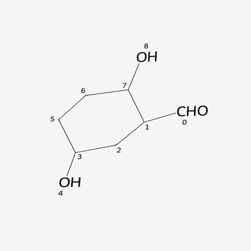 O=CC1CC(O)CCC1O